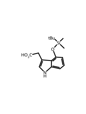 CC(C)(C)[Si](C)(C)Oc1cccc2[nH]cc(CC(=O)O)c12